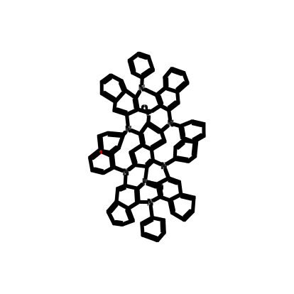 O=P12c3c4cc5ccccc5c3N(c3ccccc3)c3c1c(cc1ccccc31)N(c1ccccc1)c1c2c(cc2c3c5c(cc12)N(c1ccccc1)c1cc2ccccc2c2c1P5(=O)c1c(cc5ccccc5c1N2c1ccccc1)N3c1ccccc1)N4c1ccccc1